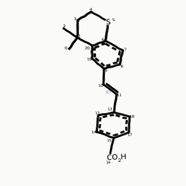 CC1(C)CCSc2ccc(/C=C/c3ccc(C(=O)O)cc3)cc21